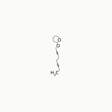 CCC#CCCC#CCOC1CCCCO1